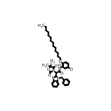 CCCCCCCCCCCCCCOc1ccc(Cl)cc1NC(=O)C(c1nc2ccccc2n1Cc1ccccc1)N1C(=O)OC(C)(C)C1=O